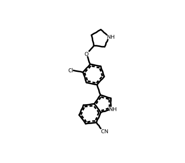 N#Cc1cccc2c(-c3ccc(OC4CCNC4)c(Cl)c3)c[nH]c12